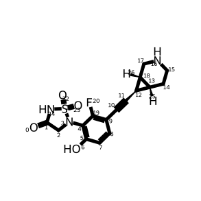 O=C1CN(c2c(O)ccc(C#C[C@@H]3[C@H]4CCNC[C@@H]34)c2F)S(=O)(=O)N1